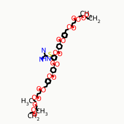 C=CC(=O)OC(C)COCC(C)OC(=O)CCC(=O)OCCc1ccc(OC(=O)[C@H]2CC[C@H](C(=O)Oc3ccc(OC(=O)[C@H]4CC[C@H](C(=O)Oc5ccc(CCOC(=O)CCC(=O)OCC(C)OC(=O)C=C)cc5)CC4)c4c3NC(=C(C#N)C#N)S4)CC2)cc1